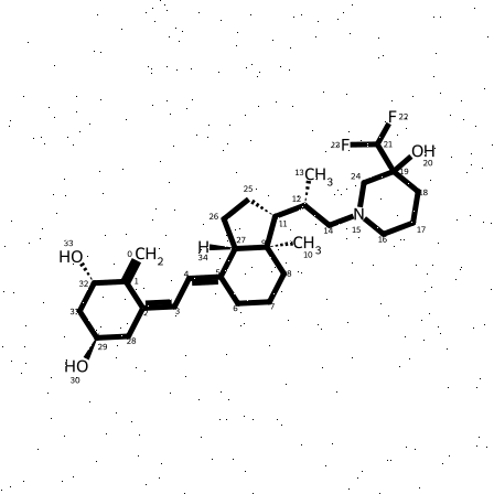 C=C1C(=CC=C2CCC[C@]3(C)[C@@H]([C@H](C)CN4CCCC(O)(C(F)F)C4)CC[C@@H]23)C[C@@H](O)C[C@@H]1O